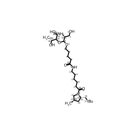 CC(=O)N[C@@H](CO)C(OCCCCC(=O)NCCCCCC(=O)N1C[C@H](C)C[C@H]1CC(C)(C)C)OC(CO)[C@@H](C)O